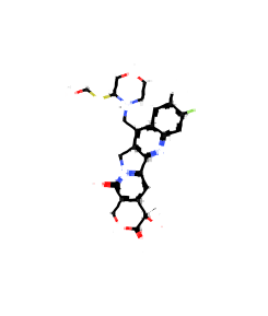 CC[C@@]1(O)C(=O)OCc2c1cc1n(c2=O)Cc2c-1nc1cc(F)c(C)cc1c2CN1CCOCC1SCO